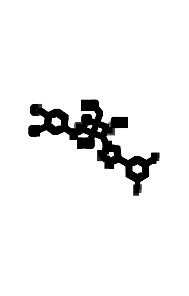 OCC12O[C@H](Sc3ccc(Cl)c(Cl)c3)C1(O)C(n1cc(-c3cc(F)cc(F)c3)nn1)[C@H]2O